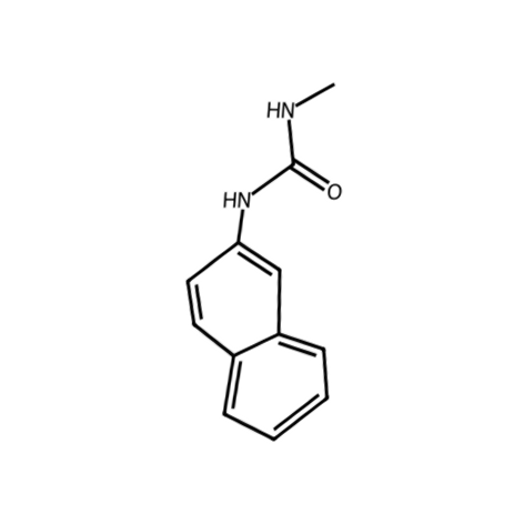 CNC(=O)Nc1ccc2ccccc2c1